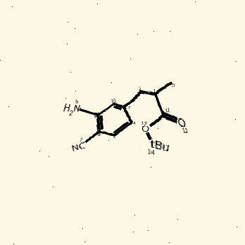 CC(Cc1ccc(C#N)c(N)c1)C(=O)OC(C)(C)C